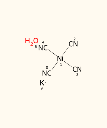 N#[C][Ni]([C]#N)([C]#N)[C]#N.O.[K]